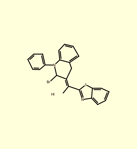 CC(=C1Cc2ccccc2N(c2ccccc2)C1Br)c1nc2ccccc2s1.I